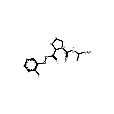 Cc1ccccc1NNC(=O)C1CCCN1C(=O)NC(C)C(=O)O